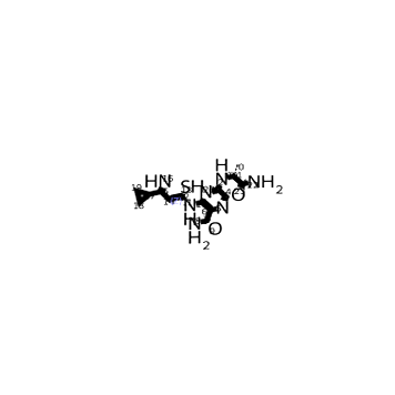 C[C@@H](Nc1cnc(C(N)=O)c(N/C(S)=C/C(=N)C2CC2)n1)C(N)=O